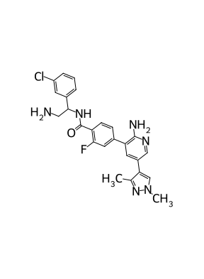 Cc1nn(C)cc1-c1cnc(N)c(-c2ccc(C(=O)NC(CN)c3cccc(Cl)c3)c(F)c2)c1